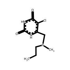 CCCN(C)Cc1[nH]c(=O)[nH]c(=O)c1Cl